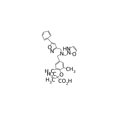 Cc1cc(CN(Cc2cc(-c3ccccc3)on2)CN2NC=CO2)cc(C)c1OC(C)(C)C(=O)O